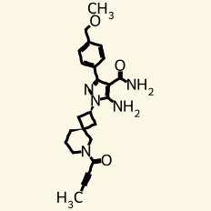 CC#CC(=O)N1CCC[C@]2(C1)C[C@H](n1nc(-c3ccc(COC)cc3)c(C(N)=O)c1N)C2